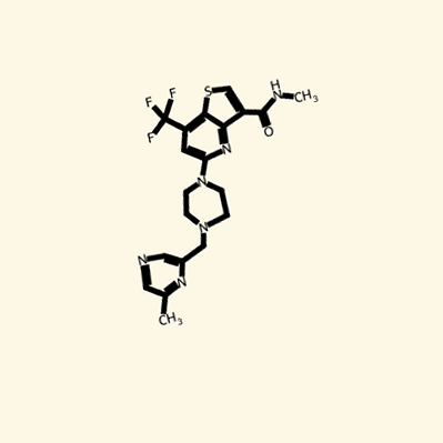 CNC(=O)c1csc2c(C(F)(F)F)cc(N3CCN(Cc4cncc(C)n4)CC3)nc12